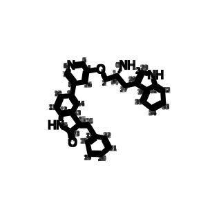 N[C@@H](COc1cncc(-c2ccc3c(c2)C(=Cc2ccccc2)C(=O)N3)c1)Cc1c[nH]c2ccccc12